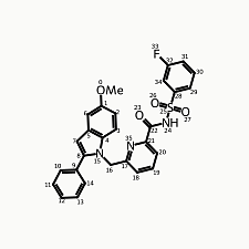 COc1ccc2c(c1)cc(-c1ccccc1)n2Cc1cccc(C(=O)NS(=O)(=O)c2cccc(F)c2)n1